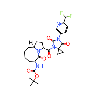 CC(C)(C)OC(=O)N[C@H]1CCCC[C@H]2CC[C@@H](C(=O)N3C(=O)N(c4ccc(C(F)F)nc4)C(=O)C34CC4)N2C1=O